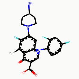 Cc1c(F)c(N2CCC(N)CC2)cc2c1c(=O)c(C(=O)O)cn2-c1ccc(F)cc1F